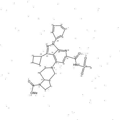 COC(=O)N1CCC2CN(c3cc(C(=O)NS(C)(=O)=O)nc4c3c(C3CCC3)nn4-c3ccccc3)CCC21